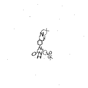 CC1(C)CCN(Cc2ccc(N3CC(=O)NC4(CCN(C(=O)OC(C)(C)C)CC4)C3)cc2F)CC1